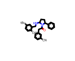 COc1ccc(C(C)(C)C)cc1CNC1CCC(c2ccccc2)N1C(=O)Cc1cccc(C#N)c1